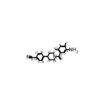 C=C(c1cc(N)c(C)cc1C)N1CCC(c2ccc(C#N)cc2)CC1